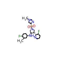 Cc1cc(N[C@H]2CN(S(=O)(=O)c3cn(C)cn3)C[C@@H]2c2ncccc2F)ccc1F